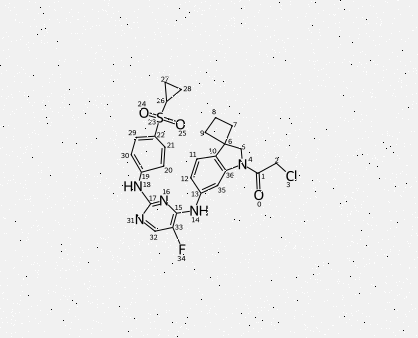 O=C(CCl)N1CC2(CCC2)c2ccc(Nc3nc(Nc4ccc(S(=O)(=O)C5CC5)cc4)ncc3F)cc21